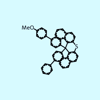 COc1ccc(-c2ccc(C3(c4ccc(-c5ccccc5)cc4)c4c(ccc5ccccc45)Sc4ccc5ccccc5c43)cc2)cc1